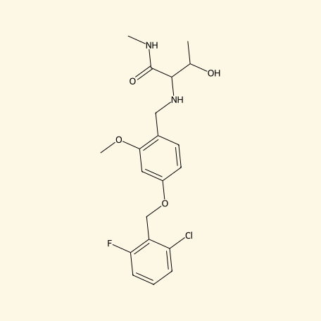 CNC(=O)C(NCc1ccc(OCc2c(F)cccc2Cl)cc1OC)C(C)O